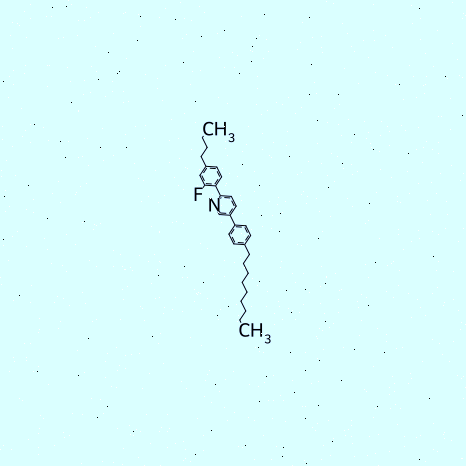 CCCCCCCCCc1ccc(-c2ccc(-c3ccc(CCCC)cc3F)nc2)cc1